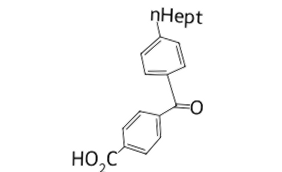 CCCCCCCc1ccc(C(=O)c2ccc(C(=O)O)cc2)cc1